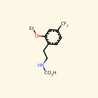 CCOc1cc(C(F)(F)F)ccc1CCNC(=O)O